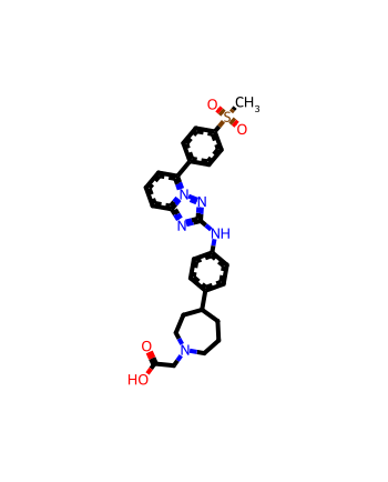 CS(=O)(=O)c1ccc(-c2cccc3nc(Nc4ccc(C5CCCN(CC(=O)O)CC5)cc4)nn23)cc1